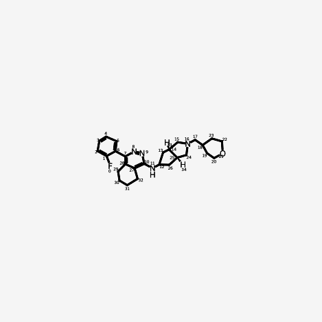 Fc1ccccc1-c1nnc(NC2C[C@@H]3CN(CC4CCOCC4)C[C@@H]3C2)c2c1CCCC2